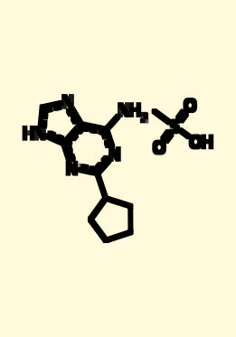 CS(=O)(=O)O.Nc1nc(C2CCCC2)nc2[nH]cnc12